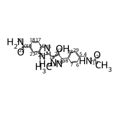 CC(=O)NCc1ccc(-c2nn(C)c(-c3nc4ccc(C(N)=O)cc4[nH]3)c2O)cc1